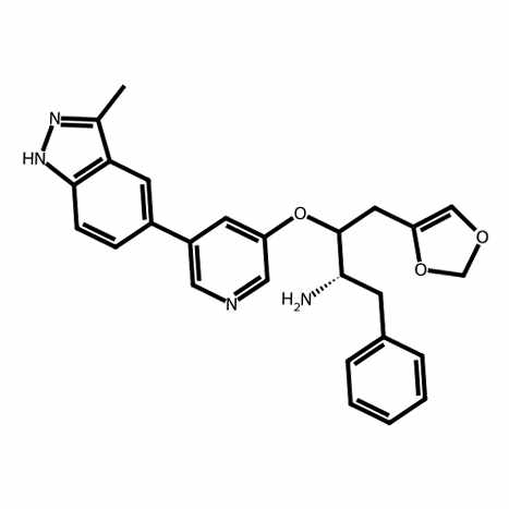 Cc1n[nH]c2ccc(-c3cncc(OC(CC4=COCO4)[C@@H](N)Cc4ccccc4)c3)cc12